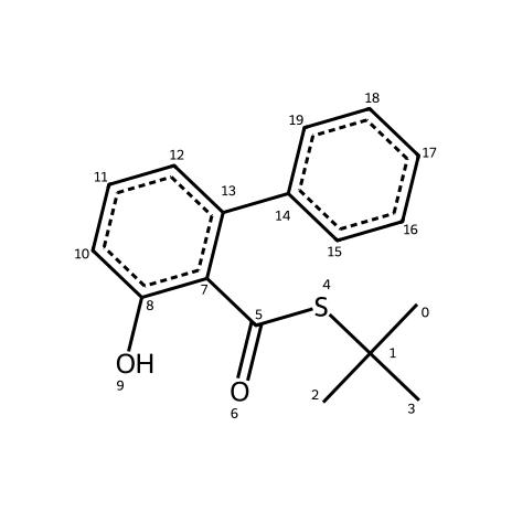 CC(C)(C)SC(=O)c1c(O)cccc1-c1ccccc1